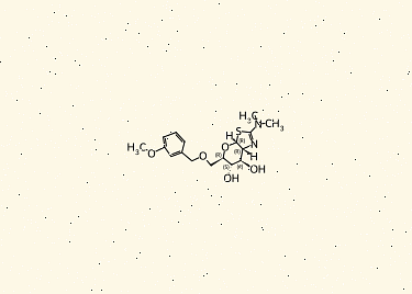 COc1cccc(COC[C@H]2O[C@@H]3SC(N(C)C)=N[C@@H]3[C@@H](O)[C@@H]2O)c1